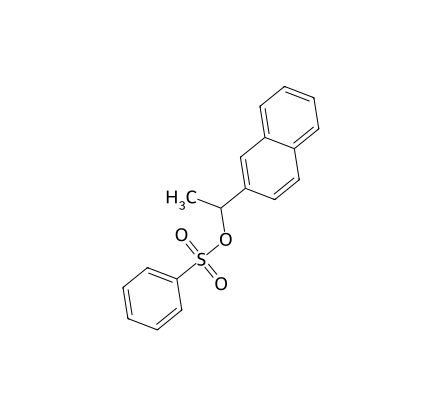 CC(OS(=O)(=O)c1ccccc1)c1ccc2ccccc2c1